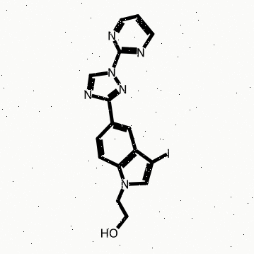 OCCn1cc(I)c2cc(-c3ncn(-c4ncccn4)n3)ccc21